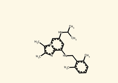 Cc1cccc(C)c1CNc1cc(NC(C)C)cn2c(C)c(C)nc12